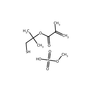 C=C(C)C(=O)OC(C)(C)CS.COS(=O)(=O)O